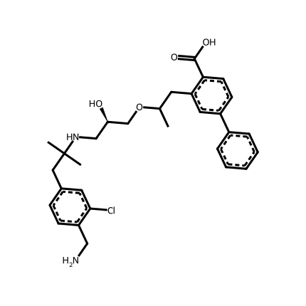 CC(Cc1cc(-c2ccccc2)ccc1C(=O)O)OC[C@H](O)CNC(C)(C)Cc1ccc(CN)c(Cl)c1